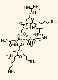 N=C(N)NCCC[C@H](NC(=O)[C@H](CCCCN)NC(=O)[C@H](CS)NC(=O)[C@H](CO)NC(=O)CNC(=O)[C@H](CC(N)=O)NC(=O)[C@H](CCCCN)NC(=O)[C@@H](N)CCCCN)C(=O)NCC(=O)O